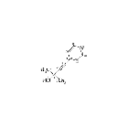 CC(C)(O)C#Cc1ccncc1